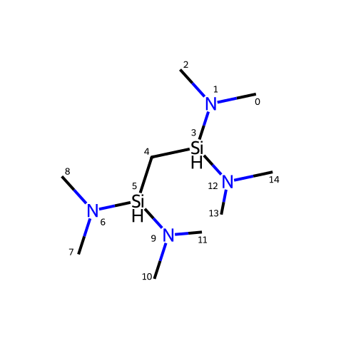 CN(C)[SiH](C[SiH](N(C)C)N(C)C)N(C)C